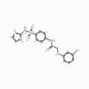 O=C(COc1cccc(F)c1)Nc1ccc(S(=O)(=O)Nc2nccs2)cc1